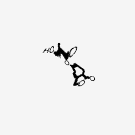 C=C(CO)C(=O)OC1CCC2C(=O)OCC2C1